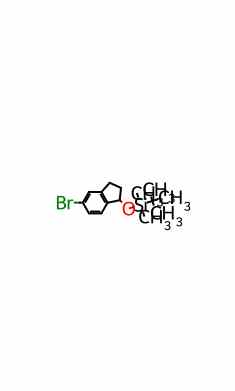 CC(C)(C)[Si](C)(C)OC1CCc2cc(Br)ccc21